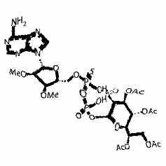 CO[C@@H]1[C@H](OC)[C@@H](COP(O)(=S)OP(=O)(O)O[C@@H]2O[C@H]([C@@H](COC(C)=O)OC(C)=O)[C@@H](OC(C)=O)[C@H](OC(C)=O)[C@@H]2OC(C)=O)O[C@H]1n1cnc2c(N)ncnc21